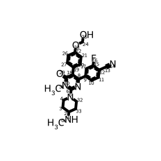 CNC1CCN(c2nc(-c3ccc(C#N)c(F)c3)c(-c3ccc(OCO)cc3)c(=O)n2C)CC1